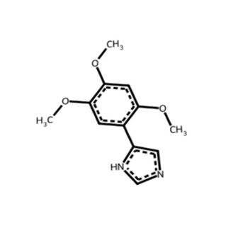 COc1cc(OC)c(-c2cnc[nH]2)cc1OC